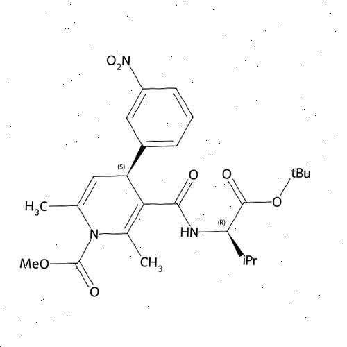 COC(=O)N1C(C)=C[C@@H](c2cccc([N+](=O)[O-])c2)C(C(=O)N[C@@H](C(=O)OC(C)(C)C)C(C)C)=C1C